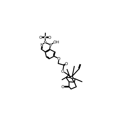 C=CC1(C)CC(C)C23CCC(=O)C2C(C)(C(C)CC3)C(OC(=O)COc2ccc3c(c2)B(O)N(S(C)(=O)=O)N=C3)C1